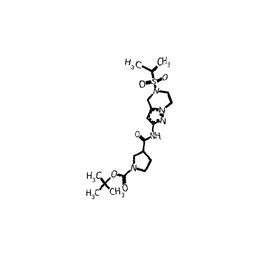 CC(C)S(=O)(=O)N1CCn2nc(NC(=O)C3CCN(C(=O)OC(C)(C)C)C3)cc2C1